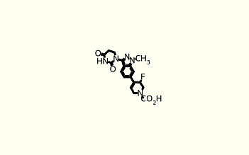 Cn1nc(N2CCC(=O)NC2=O)c2ccc(C3=CCN(C(=O)O)CC3F)cc21